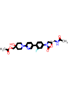 CC(=O)NC[C@H]1CN(c2ccc(-c3ccc(N4CCC(O)(COC(C)=O)CC4)nc3)c(F)c2)C(=O)O1